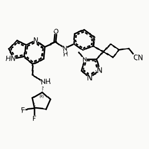 Cn1cnnc1C1(c2cccc(NC(=O)c3cc(CN[C@@H]4CCC(F)(F)C4)c4[nH]ccc4n3)c2)CC(CC#N)C1